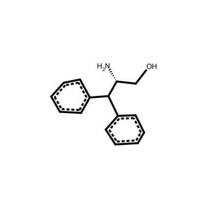 N[C@H](CO)C(c1ccccc1)c1ccccc1